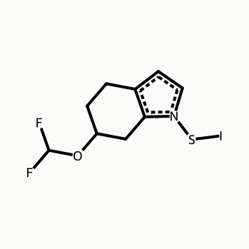 FC(F)OC1CCc2ccn(SI)c2C1